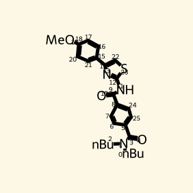 CCCCN(CCCC)C(=O)c1ccc(C(=O)Nc2nc(-c3ccc(OC)cc3)cs2)cc1